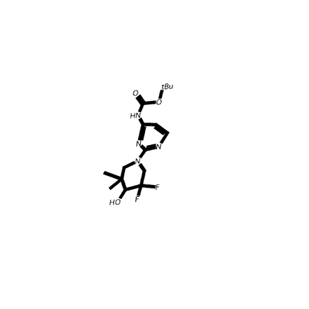 CC(C)(C)OC(=O)Nc1ccnc(N2CC(C)(C)C(O)C(F)(F)C2)n1